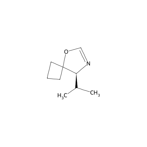 CC(C)[C@@H]1N=COC12CCC2